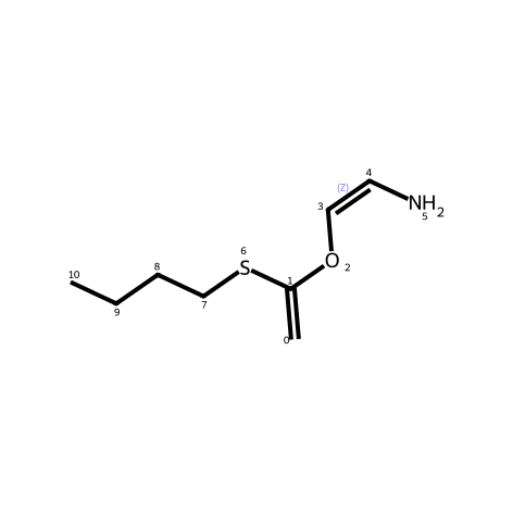 C=C(O/C=C\N)SCCCC